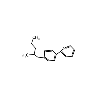 CCCC(C)Cc1ccc(-c2ccccn2)cc1